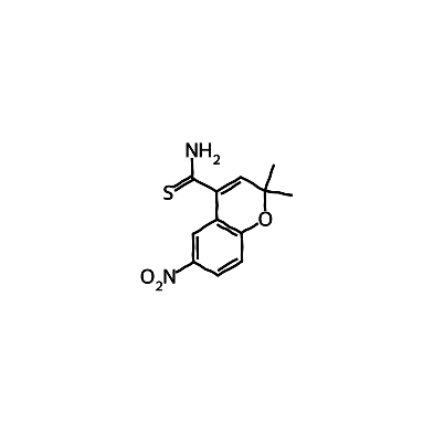 CC1(C)C=C(C(N)=S)c2cc([N+](=O)[O-])ccc2O1